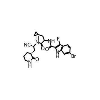 N#C[C@H](C[C@@H]1CCCNC1=O)NC(=O)C(CC1CC1)NC(=O)c1[nH]c2cc(Br)ccc2c1F